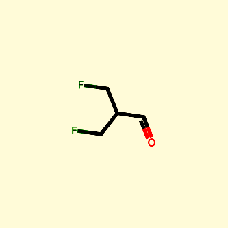 O=CC(CF)CF